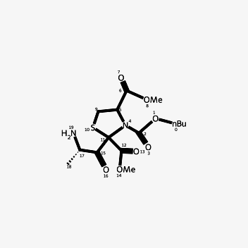 CCCCOC(=O)N1C(C(=O)OC)CSC1(C(=O)OC)C(=O)[C@H](C)N